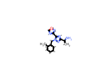 C=C(N)c1nc(-c2ncon2)n(Cc2ccccc2C)n1